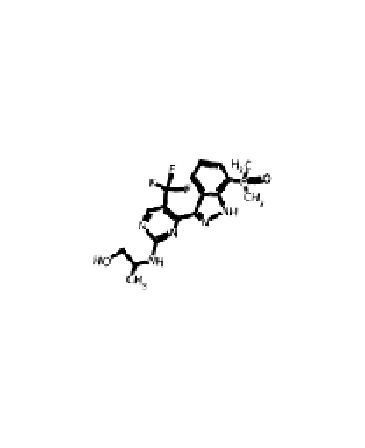 CC(CO)Nc1ncc(C(F)(F)F)c(-c2n[nH]c3c(P(C)(C)=O)cccc23)n1